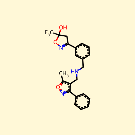 Cc1onc(-c2ccccc2)c1CNCc1cccc(C2=NOC(O)(C(F)(F)F)C2)c1